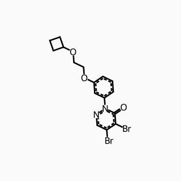 O=c1c(Br)c(Br)cnn1-c1cccc(OCCOC2CCC2)c1